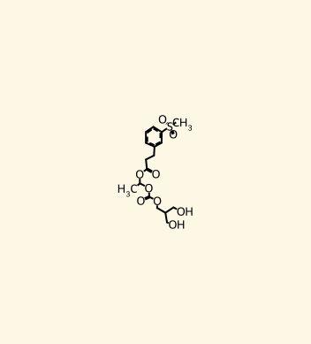 CC(OC(=O)CCc1cccc(S(C)(=O)=O)c1)OC(=O)OCC(CO)CO